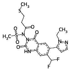 CCn1nccc1-c1cc2c(=O)n(N(C(=O)CCSC)S(C)(=O)=O)c(=O)[nH]c2cc1C(F)F